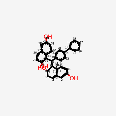 OC1=CC2=CC[C@@H](O)C(C(c3ccc(-c4ccccc4)cc3)c3c(O)ccc4cc(O)ccc34)[C@@H]2C=C1